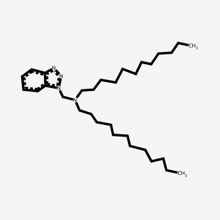 CCCCCCCCCCCCN(CCCCCCCCCCCC)Cn1nnc2ccccc21